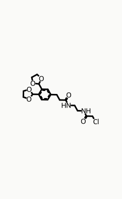 O=C(CCl)NCCNC(=O)CCc1ccc(C2OCCO2)c(C2OCCO2)c1